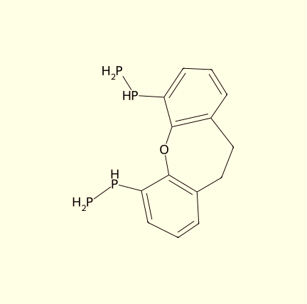 PPc1cccc2c1Oc1c(cccc1PP)CC2